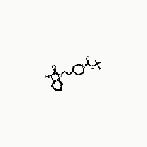 CC(C)(C)OC(=O)N1CCC(CCn2c(=O)[nH]c3ccccc32)CC1